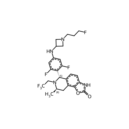 C[C@@H]1Cc2c(ccc3[nH]c(=O)oc23)[C@@H](c2c(F)cc(NC3CN(CCCF)C3)cc2F)N1CC(F)(F)F